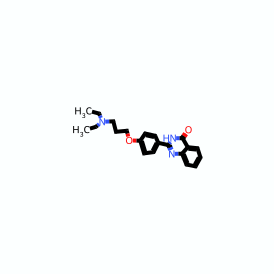 CCN(CC)CCCOc1ccc(-c2nc3ccccc3c(=O)[nH]2)cc1